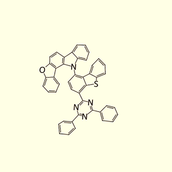 c1ccc(-c2nc(-c3ccccc3)nc(-c3ccc(-n4c5ccccc5c5ccc6oc7ccccc7c6c54)c4c3sc3ccccc34)n2)cc1